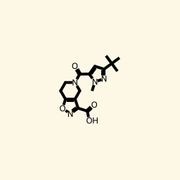 Cn1nc(C(C)(C)C)cc1C(=O)N1CCc2onc(C(=O)O)c2C1